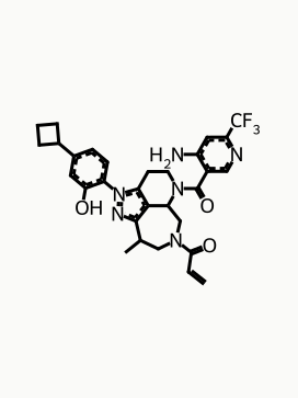 C=CC(=O)N1CC(C)c2nn(-c3ccc(C4CCC4)cc3O)c3c2C(C1)N(C(=O)c1cnc(C(F)(F)F)cc1N)CC3